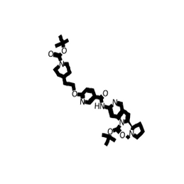 CN1CCC[C@@H]1c1cc2cnc(NC(=O)c3ccc(OCCC4CCN(C(=O)OC(C)(C)C)CC4)nc3)cc2n1C(=O)OC(C)(C)C